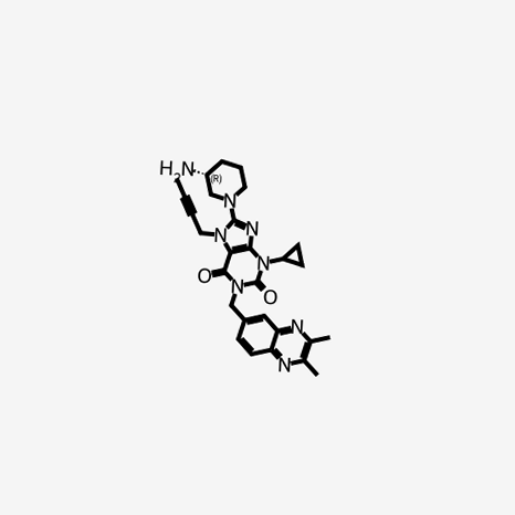 CC#CCn1c(N2CCC[C@@H](N)C2)nc2c1c(=O)n(Cc1ccc3nc(C)c(C)nc3c1)c(=O)n2C1CC1